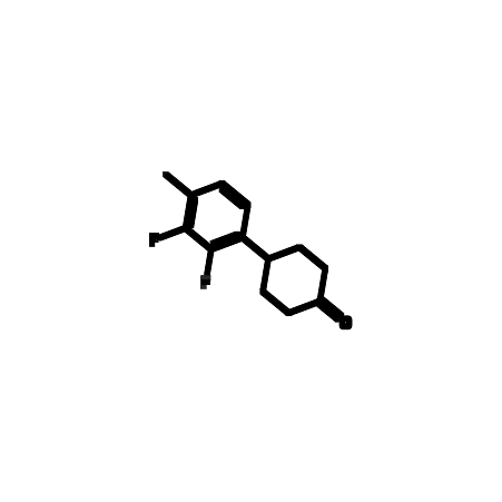 Cc1ccc(C2CCC(=O)CC2)c(F)c1F